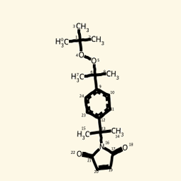 CC(C)(C)OOC(C)(C)c1ccc(C(C)(C)N2C(=O)C=CC2=O)cc1